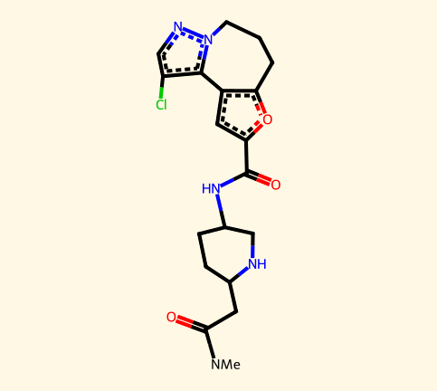 CNC(=O)CC1CCC(NC(=O)c2cc3c(o2)CCCn2ncc(Cl)c2-3)CN1